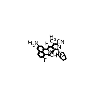 C#Cc1c(F)ccc2cc(N)cc(-c3ncc4c(N5CC6CCC(C5)N6)nc(C#N)c(C)c4c3F)c12